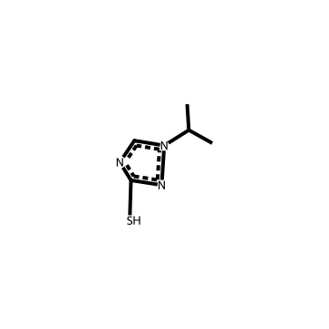 CC(C)n1cnc(S)n1